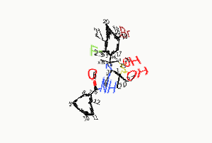 CC1(C)C(NC(=O)c2ccccc2)=N[C@](C)(c2cc(Br)ccc2F)CS1(O)O